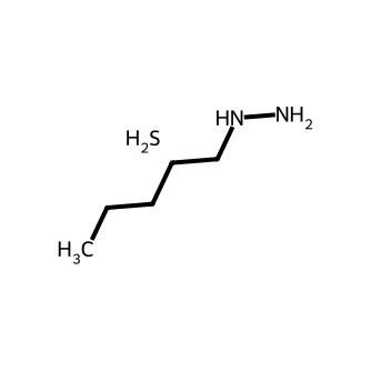 CCCCCNN.S